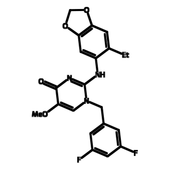 CCc1cc2c(cc1Nc1nc(=O)c(OC)cn1Cc1cc(F)cc(F)c1)OCO2